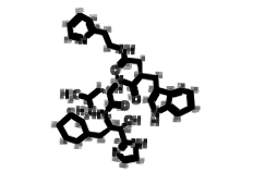 CC(C)C[C@H](NC(=O)[C@@H](CC(=O)NCCc1ccccn1)Cc1c[nH]c2ccccc12)C(=O)N[C@H](CC1CCCCC1)[C@H](O)c1ncc[nH]1